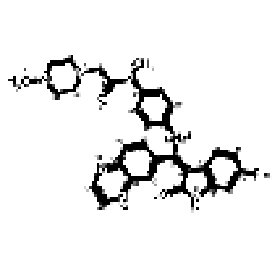 CN1CCN(CC(=O)N(C)c2ccc(NC(=C3C(=O)Nc4cc(F)ccc43)c3ccc4nccnc4c3)cc2)CC1